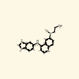 [O-][S+](CCO)c1ccc2nccc(Nc3ccc4scnc4c3)c2c1